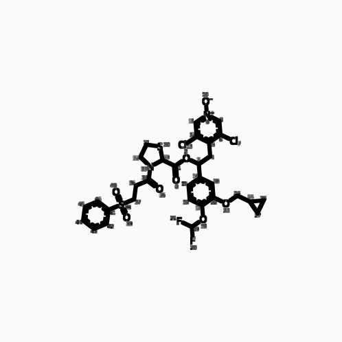 O=C(OC(Cc1c(Cl)c[n+]([O-])cc1Cl)c1ccc(OC(F)F)c(OCC2CC2)c1)C1SCCN1C(=O)CCS(=O)(=O)c1ccccc1